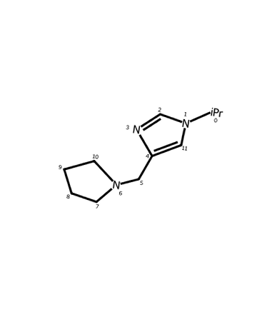 CC(C)n1cnc(CN2CCCC2)c1